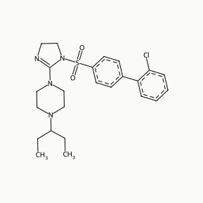 CCC(CC)N1CCN(C2=NCCN2S(=O)(=O)c2ccc(-c3ccccc3Cl)cc2)CC1